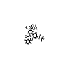 CC(C)(C)c1ccc2c(c1)C1(CCN(CCC(F)(F)F)CC1)CN2C(=O)c1c(Cl)cccc1Cl